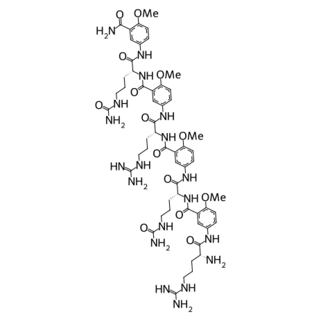 COc1ccc(NC(=O)[C@@H](CCCNC(N)=O)NC(=O)c2cc(NC(=O)[C@@H](CCCNC(=N)N)NC(=O)c3cc(NC(=O)[C@@H](CCCNC(N)=O)NC(=O)c4cc(NC(=O)[C@H](N)CCCNC(=N)N)ccc4OC)ccc3OC)ccc2OC)cc1C(N)=O